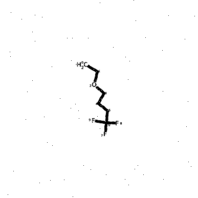 [CH2]COCCCC(F)(F)F